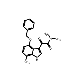 Cc1ccc(OCc2ccccc2)c2c(C(=O)C(=O)N(C)C)c[nH]c12